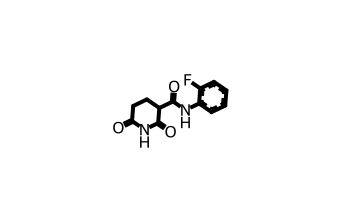 O=C1CCC(C(=O)Nc2ccccc2F)C(=O)N1